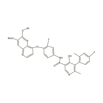 COc1cc2nccc(Oc3ccc(NC(=O)c4cnc(C)c(-c5ccc(F)cc5C)c4O)cc3F)c2nc1OC(C)C